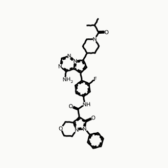 CC(C)C(=O)N1CCC(c2cc(-c3ccc(NC(=O)c4c5n(n(-c6ccccc6)c4=O)CCOC5)cc3F)c3c(N)ncnn23)CC1